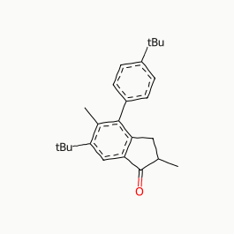 Cc1c(C(C)(C)C)cc2c(c1-c1ccc(C(C)(C)C)cc1)CC(C)C2=O